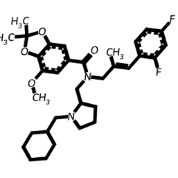 COc1cc(C(=O)N(C/C(C)=C/c2ccc(F)cc2F)CC2CCCN2CC2CCCCC2)cc2c1OC(C)(C)O2